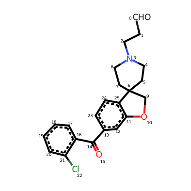 O=CCCN1CCC2(CC1)COc1cc(C(=O)c3ccccc3Cl)ccc12